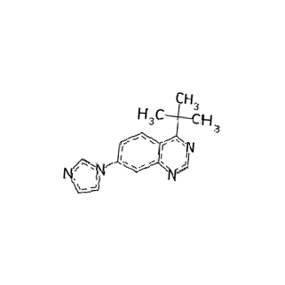 CC(C)(C)c1ncnc2cc(-n3ccnc3)ccc12